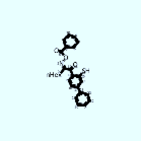 CCCCCCC(=NOC(=O)c1ccccc1)C(=O)c1ccc(-c2ccccc2)cc1S